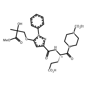 CCOC(=O)N1CCN(C(=O)[C@H](CCC(=O)O)NC(=O)c2cc(OCC(C)(O)C(=O)OC)n(-c3ccccc3)n2)CC1